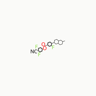 CC1CCC2CC(c3ccc(C(=O)Oc4cc(F)c(C#N)c(F)c4)cc3F)CCC2C1